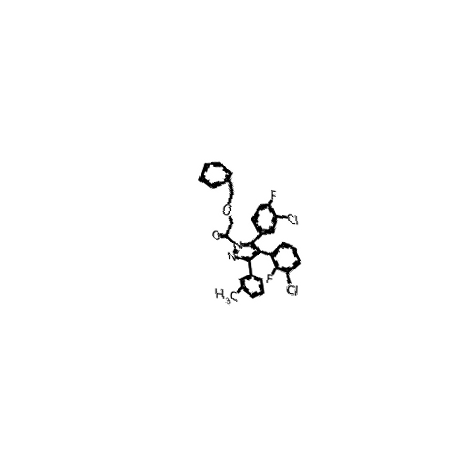 Cc1cccc(-c2nn(C(=O)COCc3ccccc3)c(-c3ccc(F)c(Cl)c3)c2-c2cccc(Cl)c2F)c1